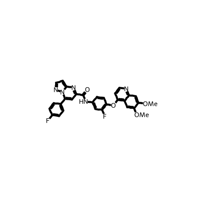 COc1cc2nccc(Oc3ccc(NC(=O)c4cc(-c5ccc(F)cc5)n5nccc5n4)cc3F)c2cc1OC